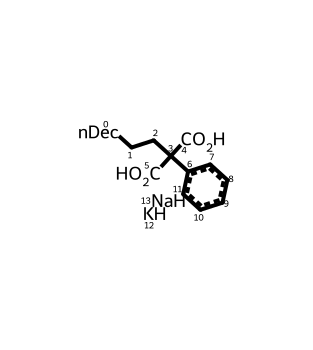 CCCCCCCCCCCCC(C(=O)O)(C(=O)O)c1ccccc1.[KH].[NaH]